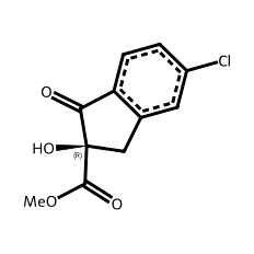 COC(=O)[C@@]1(O)Cc2cc(Cl)ccc2C1=O